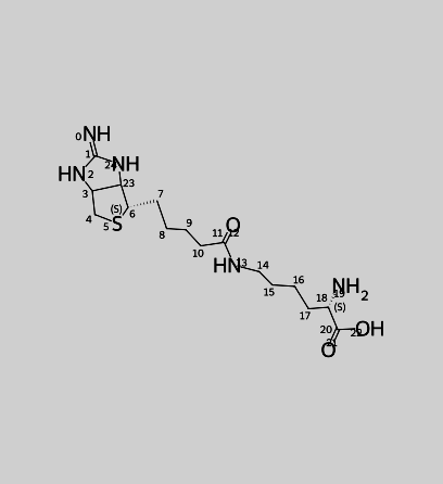 N=C1NC2CS[C@@H](CCCCC(=O)NCCCC[C@H](N)C(=O)O)C2N1